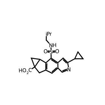 CC(C)CNS(=O)(=O)c1c2c(cc3cnc(C4CC4)cc13)CC1(C(=O)O)CC21